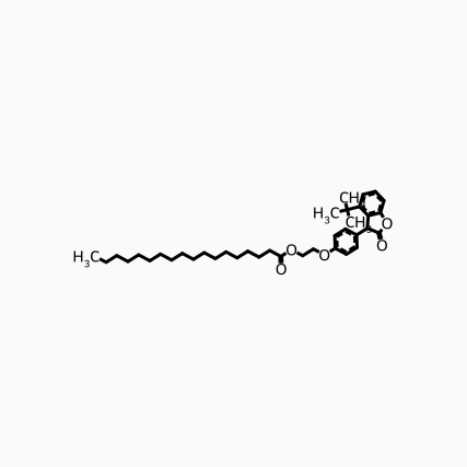 CCCCCCCCCCCCCCCCCC(=O)OCCOc1ccc(C2C(=O)Oc3cccc(C(C)(C)C)c32)cc1